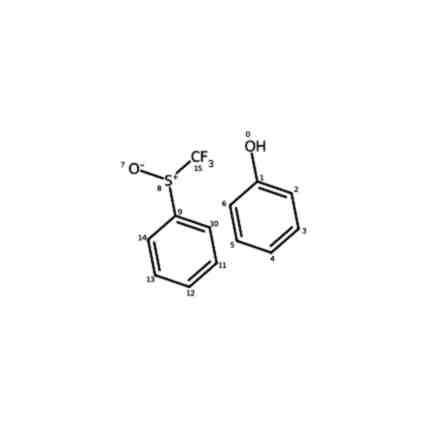 Oc1ccccc1.[O-][S+](c1ccccc1)C(F)(F)F